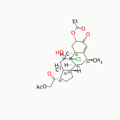 CCC(=O)OC1C[C@@]2(C)C(=CC1=O)[C@@H](C)C[C@H]1[C@@H]3CC[C@H](C(=O)COC(C)=O)[C@@]3(C)C[C@H](O)[C@@]12Cl